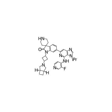 CC(C)n1cnc2cc(-c3ccc4c(c3)N(C3CC(N5C[C@H]6CC[C@H]6C5)C3)C(=O)C43CCNCC3)nc(Nc3ccncc3F)c21